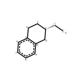 IC[C@H]1CCc2ccccc2C1